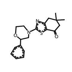 CC1(C)CC(=O)c2sc(N3CCOC(c4ccccc4)C3)nc2C1